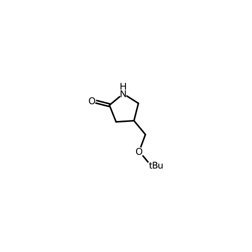 CC(C)(C)OCC1CNC(=O)C1